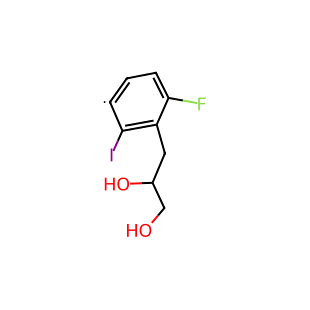 OCC(O)Cc1c(I)[c]ccc1F